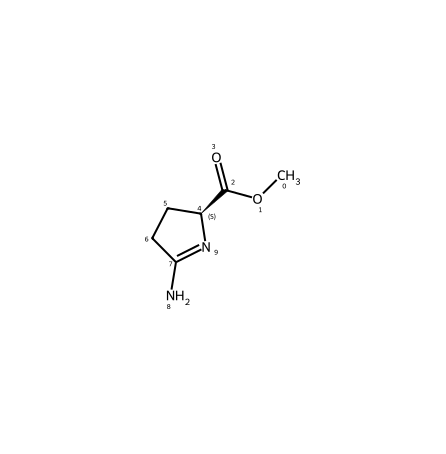 COC(=O)[C@@H]1CCC(N)=N1